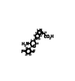 N[C@H]1C[C@@H](N2Cc3cnn(CC(=O)O)c3C2)CO[C@@H]1c1cc(F)ccc1F